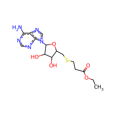 CCOC(=O)CCSCC1OC(n2cnc3c(N)ncnc32)C(O)C1O